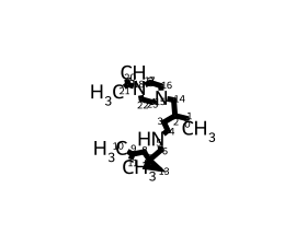 CCC(CCNCC1(CC(C)C)CC1)CN1CCN(C(C)C)CC1